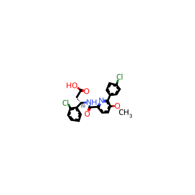 COc1ccc(C(=O)N[C@@H](CC(=O)O)c2ccccc2Cl)nc1-c1ccc(Cl)cc1